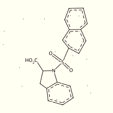 O=C(O)C1Cc2ccccc2N1S(=O)(=O)c1ccc2ccccc2c1